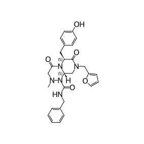 CN1CC(=O)N2[C@@H](Cc3ccc(O)cc3)C(=O)N(Cc3ccco3)C[C@@H]2N1C(=O)NCc1ccccc1